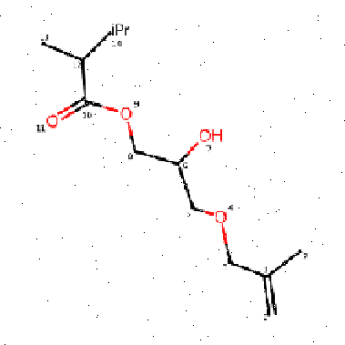 C=C(C)COCC(O)COC(=O)C(C)C(C)C